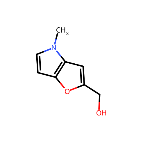 Cn1ccc2oc(CO)cc21